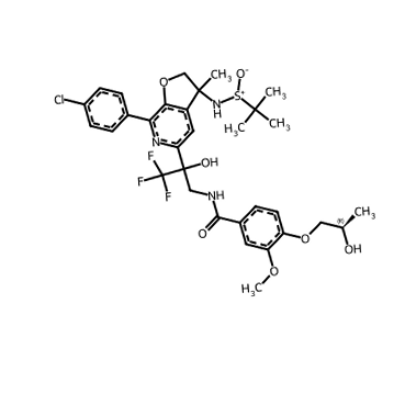 COc1cc(C(=O)NCC(O)(c2cc3c(c(-c4ccc(Cl)cc4)n2)OCC3(C)N[S+]([O-])C(C)(C)C)C(F)(F)F)ccc1OC[C@@H](C)O